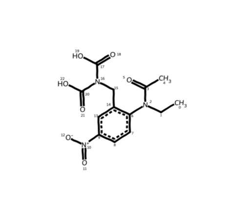 CCN(C(C)=O)c1ccc([N+](=O)[O-])cc1CN(C(=O)O)C(=O)O